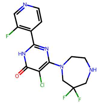 O=c1[nH]c(-c2ccncc2F)nc(N2CCNCC(F)(F)C2)c1Cl